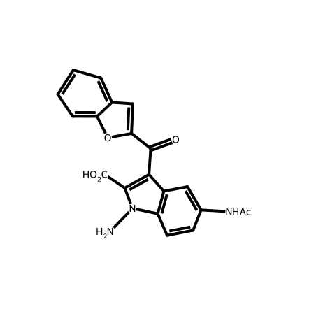 CC(=O)Nc1ccc2c(c1)c(C(=O)c1cc3ccccc3o1)c(C(=O)O)n2N